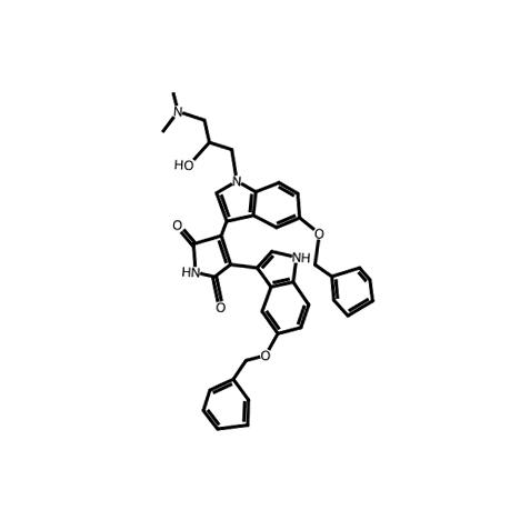 CN(C)CC(O)Cn1cc(C2=C(c3c[nH]c4ccc(OCc5ccccc5)cc34)C(=O)NC2=O)c2cc(OCc3ccccc3)ccc21